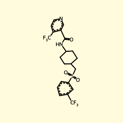 O=C(NC1CCC(CS(=O)(=O)c2cccc(C(F)(F)F)c2)CC1)c1cnccc1C(F)(F)F